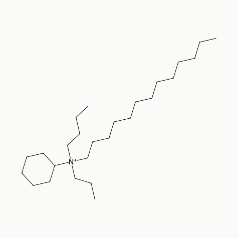 CCCCCCCCCCCCC[N+](CCC)(CCCC)C1CCCCC1